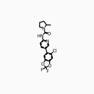 CC1CCCN1C(=O)Nc1ccc(-c2cc3c(cc2Cl)OC(F)(F)O3)cn1